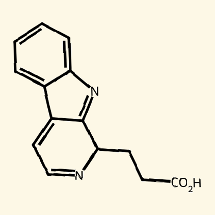 O=C(O)CCC1N=CC=C2C1=Nc1ccccc12